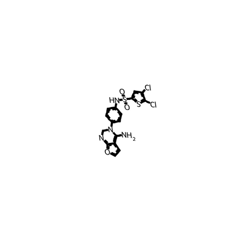 NC1=c2ccoc2=NCN1c1ccc(NS(=O)(=O)c2cc(Cl)c(Cl)s2)cc1